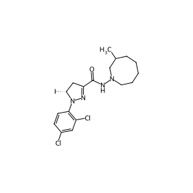 CC1CCCCCN(NC(=O)C2=NN(c3ccc(Cl)cc3Cl)[C@H](I)C2)C1